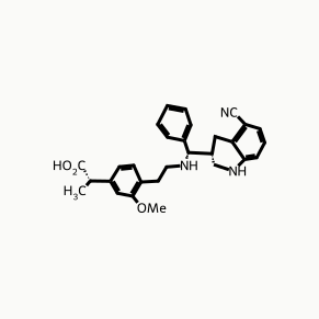 COc1cc([C@H](C)C(=O)O)ccc1CCN[C@H](c1ccccc1)[C@H]1CNc2cccc(C#N)c2C1